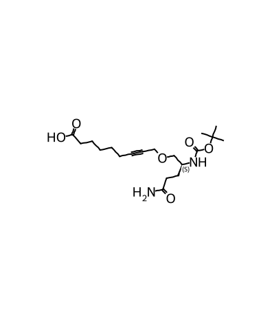 CC(C)(C)OC(=O)N[C@@H](CCC(N)=O)COCC#CCCCCCC(=O)O